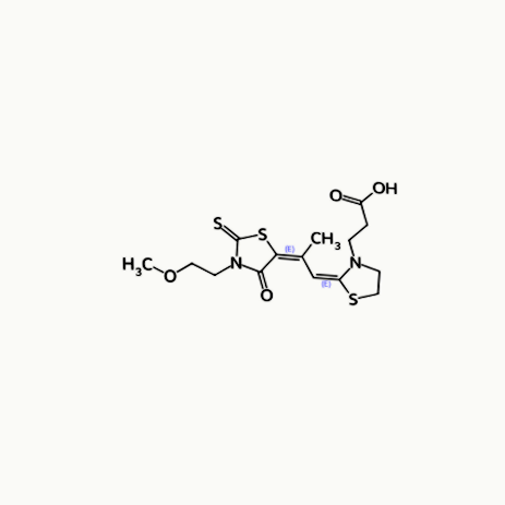 COCCN1C(=O)/C(=C(C)\C=C2\SCCN2CCC(=O)O)SC1=S